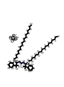 CCCCCCCCCCCCCCCCCCN1/C(=C/C=C/C2=[N+](CCCCCCCCCCCCCCCCCC)c3ccccc3C2(C)C)C(C)(C)c2ccccc21.[O-][Cl+3]([O-])([O-])[O-]